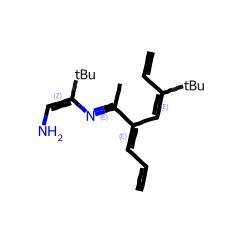 C=C/C=C(\C=C(/C=C)C(C)(C)C)C(/C)=N/C(=C\N)C(C)(C)C